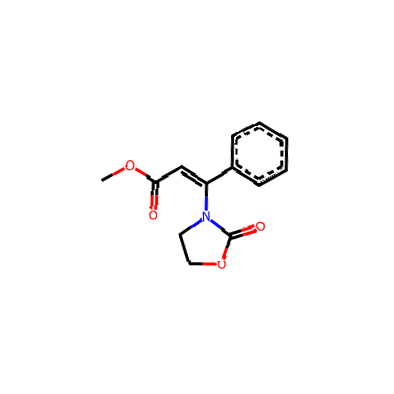 COC(=O)/C=C(/c1ccccc1)N1CCOC1=O